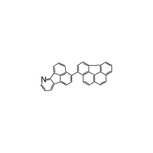 c1cnc2c(c1)-c1ccc(-c3ccc4c5c3ccc3ccc6cccc-4c6c35)c3cccc-2c13